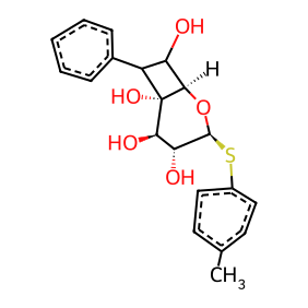 Cc1ccc(S[C@@H]2O[C@@H]3C(O)C(c4ccccc4)[C@]3(O)[C@H](O)[C@H]2O)cc1